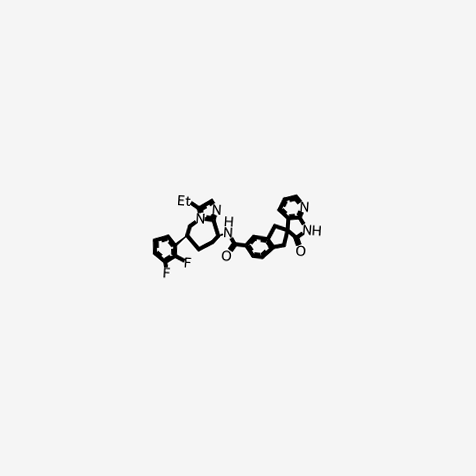 CCc1cnc2n1C[C@H](c1cccc(F)c1F)CC[C@H]2NC(=O)c1ccc2c(c1)CC1(C2)C(=O)Nc2ncccc21